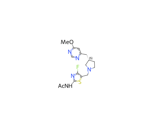 COc1cc(C[C@@H]2CCN(Cc3sc(NC(C)=O)nc3F)C2)ncn1